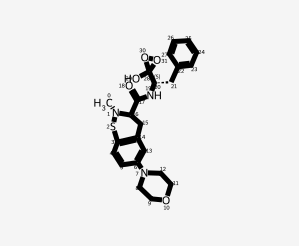 CN1Sc2ccc(N3CCOCC3)cc2CC1C(=O)N[C@@H](Cc1ccccc1)C1(O)OO1